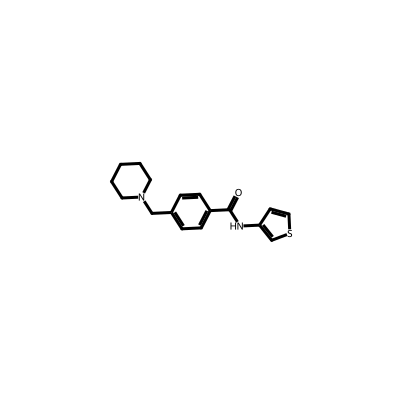 O=C(Nc1ccsc1)c1ccc(CN2CCCCC2)cc1